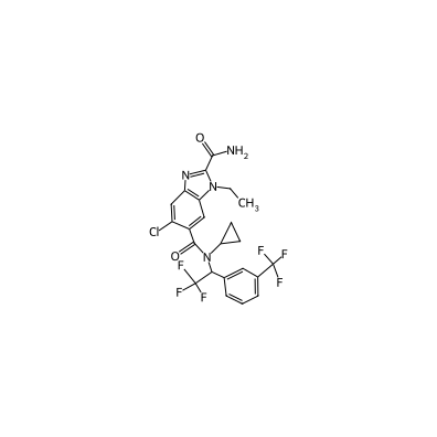 CCn1c(C(N)=O)nc2cc(Cl)c(C(=O)N(C3CC3)C(c3cccc(C(F)(F)F)c3)C(F)(F)F)cc21